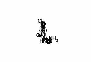 Nc1nccc2[nH]c(CN3CCN(S(=O)(=O)c4cc5ccc(Cl)cc5s4)CC3C=O)cc12